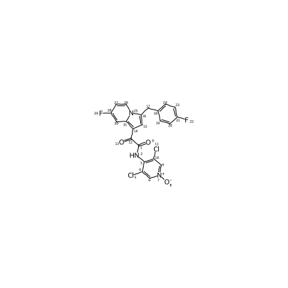 O=C(Nc1c(Cl)c[n+]([O-])cc1Cl)C(=O)c1cc(Cc2ccc(F)cc2)n2ccc(F)cc12